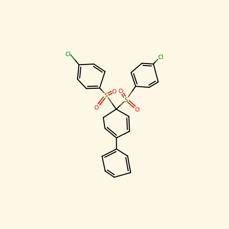 O=S(=O)(c1ccc(Cl)cc1)C1(S(=O)(=O)c2ccc(Cl)cc2)C=CC(c2ccccc2)=CC1